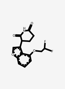 O=C1CCC(c2coc3cccc(OCC(F)F)c23)C(=O)N1